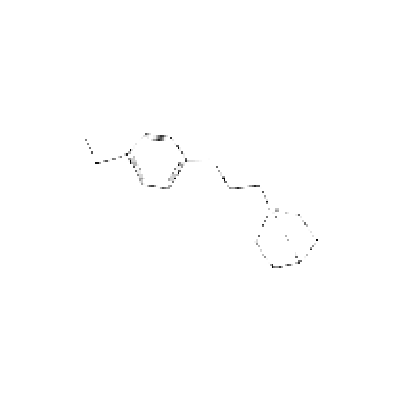 CCc1ccc(OCC[N+]23CCC(CC2)CC3)cc1